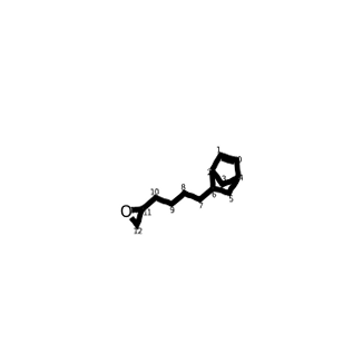 C1=CC2CC1CC2CCCCC1CO1